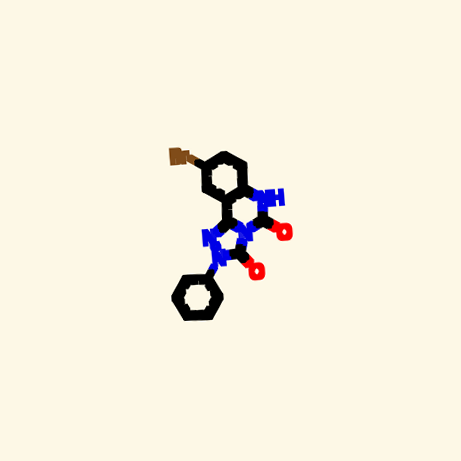 O=c1[nH]c2ccc(Br)cc2c2nn(-c3ccccc3)c(=O)n12